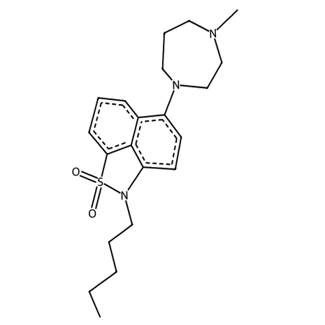 CCCCCN1c2ccc(N3CCCN(C)CC3)c3cccc(c23)S1(=O)=O